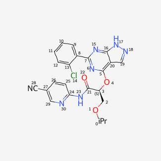 CC(C)OC[C@H](Oc1nc(-c2ccccc2Cl)nc2[nH]ncc12)C(=O)Nc1ccc(C#N)cn1